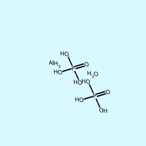 O.O=P(O)(O)O.O=P(O)(O)O.[AlH3]